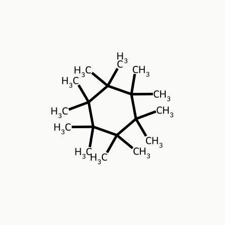 CC1(C)C(C)(C)C(C)(C)C(C)(C)C(C)(C)C1(C)C